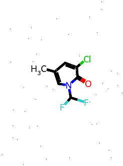 Cc1cc(Cl)c(=O)n(C(F)F)c1